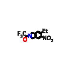 CCc1cc2c(cc1[N+](=O)[O-])CN(C(=O)C(F)(F)F)C2